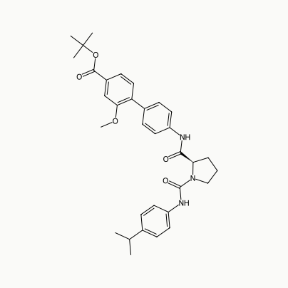 COc1cc(C(=O)OC(C)(C)C)ccc1-c1ccc(NC(=O)[C@H]2CCCN2C(=O)Nc2ccc(C(C)C)cc2)cc1